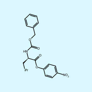 CC(C)C[C@@H](NC(=O)OCc1ccccc1)C(=O)Oc1ccc([N+](=O)[O-])cc1